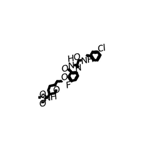 CS(=O)(=O)NC1CCC(CCOc2c(F)ccc3nc(C(=O)NCc4cccc(Cl)c4)[nH]c(=O)c23)OC1